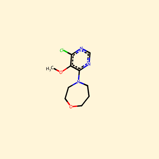 COc1c(Cl)ncnc1N1CCCOCC1